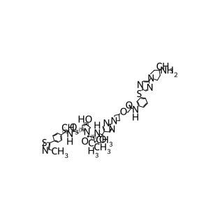 Cc1ncsc1-c1ccc([C@H](C)NC(=O)C[C@@H]2C[C@@H](O)CN2C(=O)[C@@H](NC(=O)c2cnc(N3CC(OCC(=O)Nc4cccc(Sc5cnc(N6CCC(C)(N)CC6)cn5)c4)C3)nc2)C(C)(C)C)cc1